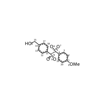 COc1ccc(S(=O)(=O)S(=O)(=O)c2ccc(CO)cc2)cc1